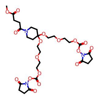 COC(=O)CCC(=O)N1CCC(OCCOCCOC(=O)ON2C(=O)CCC2=O)(OCCOCCOC(=O)ON2C(=O)CCC2=O)CC1